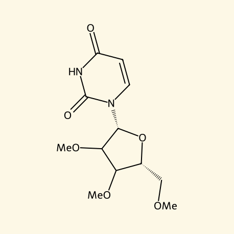 COC[C@H]1O[C@@H](n2ccc(=O)[nH]c2=O)C(OC)C1OC